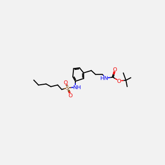 CCCCCCS(=O)(=O)Nc1cccc(CCCNC(=O)OC(C)(C)C)c1